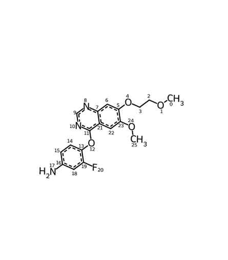 COCCOc1cc2ncnc(Oc3ccc(N)cc3F)c2cc1OC